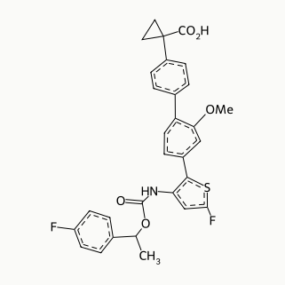 COc1cc(-c2sc(F)cc2NC(=O)OC(C)c2ccc(F)cc2)ccc1-c1ccc(C2(C(=O)O)CC2)cc1